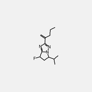 C=C(CCC)c1nc2n(n1)C(C(C)C)CC2F